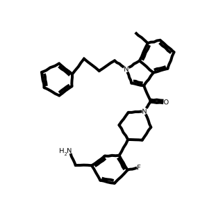 Cc1cccc2c(C(=O)N3CCC(c4cc(CN)ccc4F)CC3)cn(CCCc3ccccc3)c12